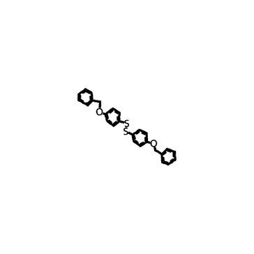 c1ccc(COc2ccc(SSc3ccc(OCc4ccccc4)cc3)cc2)cc1